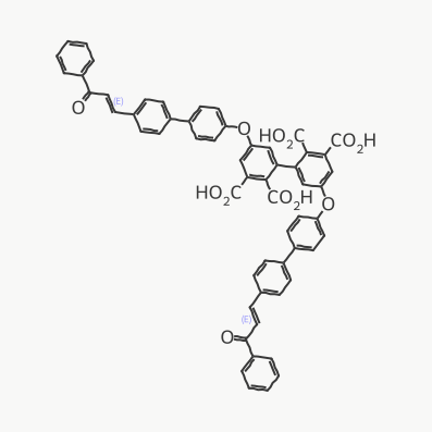 O=C(/C=C/c1ccc(-c2ccc(Oc3cc(C(=O)O)c(C(=O)O)c(-c4cc(Oc5ccc(-c6ccc(/C=C/C(=O)c7ccccc7)cc6)cc5)cc(C(=O)O)c4C(=O)O)c3)cc2)cc1)c1ccccc1